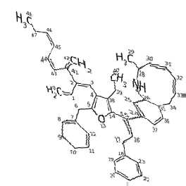 C=C/C(=C\c1c(CC2=CCCC=C2)oc(/C(=C\Cc2ccccc2)C2=CC3NC(C)/C=C\C=C/CC3C=C2)c1CC)C(=C)/C=C\C=C/CC